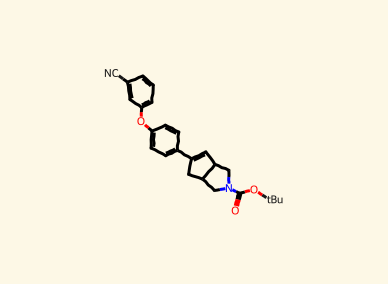 CC(C)(C)OC(=O)N1CC2C=C(c3ccc(Oc4cccc(C#N)c4)cc3)CC2C1